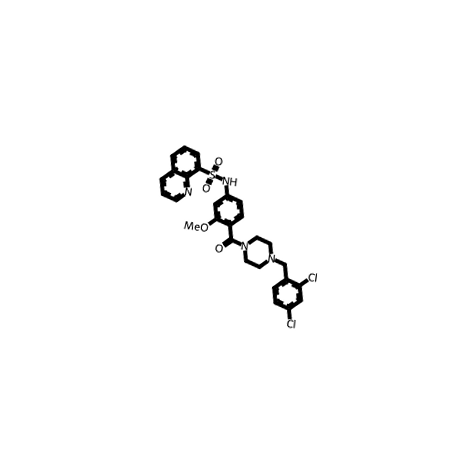 COc1cc(NS(=O)(=O)c2cccc3cccnc23)ccc1C(=O)N1CCN(Cc2ccc(Cl)cc2Cl)CC1